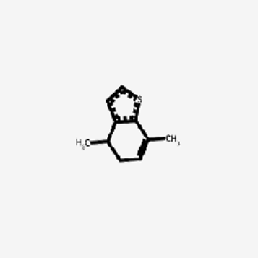 CC1=CCC(C)c2ccsc21